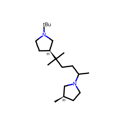 CC(CCC(C)(C)[C@H]1CCN(C(C)(C)C)C1)N1CC[C@@H](C)C1